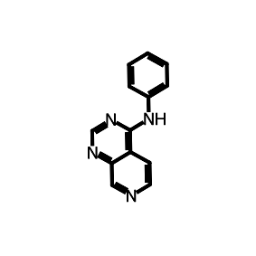 c1ccc(Nc2ncnc3cnccc23)cc1